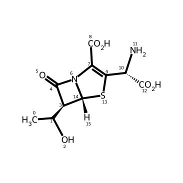 CC(O)[C@H]1C(=O)N2C(C(=O)O)=C([C@H](N)C(=O)O)S[C@H]12